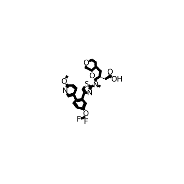 COc1ccc(-c2ccc(OC(F)F)cc2-c2csc(N(C)C(=O)[C@@H](CC(=O)O)CC3CCOCC3)n2)cn1